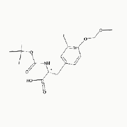 COCOc1ccc(C[C@@H](NC(=O)OC(C)(C)C)C(=O)O)cc1I